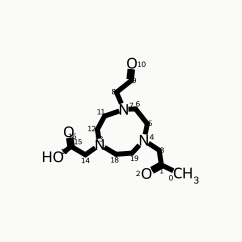 CC(=O)CN1CCN(CC=O)CCN(CC(=O)O)CC1